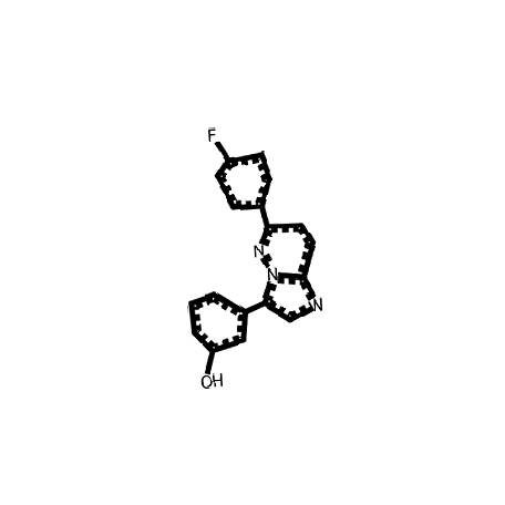 Oc1cccc(-c2cnc3ccc(-c4ccc(F)cc4)nn23)c1